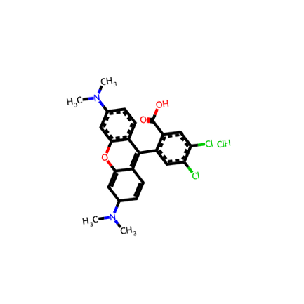 CN(C)c1ccc2c(c1)OC1=CC(N(C)C)C=CC1=C2c1cc(Cl)c(Cl)cc1C(=O)O.Cl